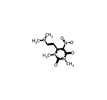 CN(C)/C=C/c1c([N+](=O)[O-])c(=O)n(C)c(=O)n1C